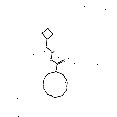 O=C(ONCC1CCC1)C1CCCCCCCCC1